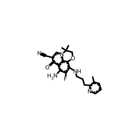 Cc1cccnc1CCCNc1c(F)c(N)c2c(=O)c(C#N)cn3c2c1OCC3(C)C